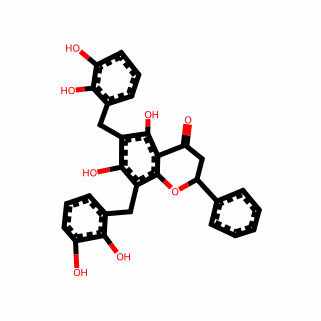 O=C1CC(c2ccccc2)Oc2c(Cc3cccc(O)c3O)c(O)c(Cc3cccc(O)c3O)c(O)c21